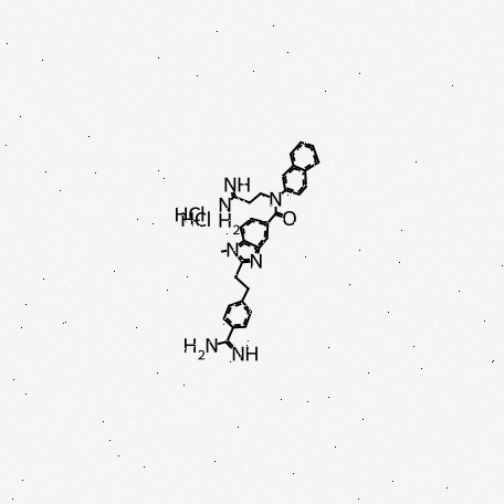 Cl.Cl.Cn1c(CCc2ccc(C(=N)N)cc2)nc2cc(C(=O)N(CCC(=N)N)c3ccc4ccccc4c3)ccc21